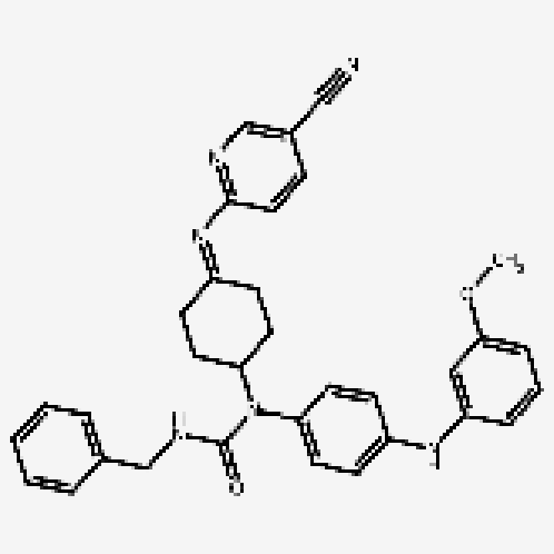 COc1cccc(Nc2ccc(N(C(=O)NCc3ccccc3)C3CCC(=Nc4ccc(C#N)cn4)CC3)cc2)c1